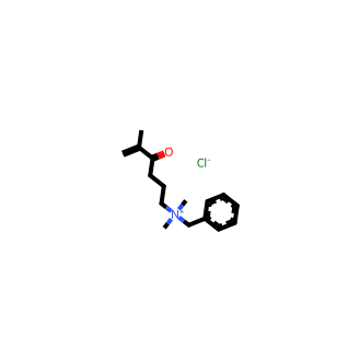 C=C(C)C(=O)CCC[N+](C)(C)Cc1ccccc1.[Cl-]